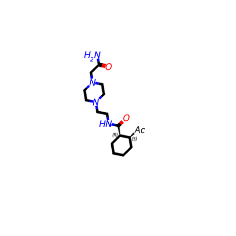 CC(=O)[C@H]1CCCC[C@H]1C(=O)NCCN1CCN(CC(N)=O)CC1